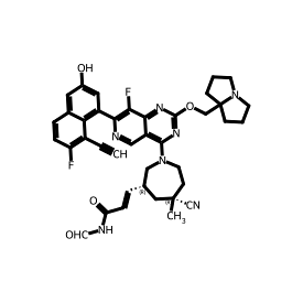 C#Cc1c(F)ccc2cc(O)cc(-c3ncc4c(N5CC[C@](C)(C#N)C[C@H](C=CC(=O)NC=O)C5)nc(OCC56CCCN5CCC6)nc4c3F)c12